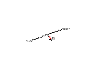 CCCCCCCCCCCCCCCCCCCC(CCCCCCCCCCCCCCCCCCC)COC(C)(C)CC